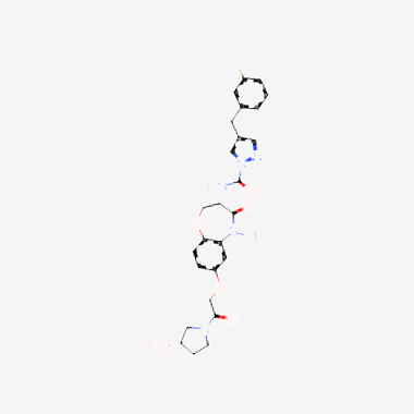 CN1C(=O)[C@@H](NC(=O)n2cc(Cc3cccc(F)c3)cn2)COc2ccc(OCC(=O)N3CC[C@H](O)C3)cc21